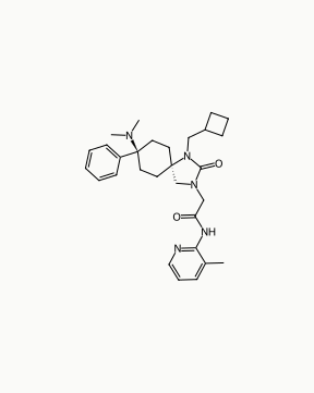 Cc1cccnc1NC(=O)CN1C[C@]2(CC[C@](c3ccccc3)(N(C)C)CC2)N(CC2CCC2)C1=O